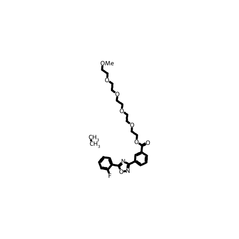 CC.COCCOCCOCCOCCOCCOC(=O)c1cccc(-c2noc(-c3ccccc3F)n2)c1